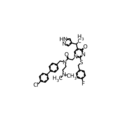 CC(c1cn[nH]c1)c1cn(CC(=O)N(CCN(C)C)Cc2ccc(-c3ccc(Cl)cc3)cc2)c(SCc2ccc(F)cc2)nc1=O